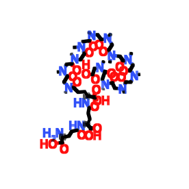 CN(CC(=O)O)C(=O)CN(C)C(=O)CN(C)C(=O)CN(C)C(=O)CN(C)C(=O)CN(C)C(=O)CN(C)C(=O)CN(C)C(=O)CN(C)C(=O)CN(C)C(=O)CN(C)C(=O)CN(C)C(=O)CC[C@H](NC(=O)CC[C@H](NC(=O)CC[C@H](N)C(=O)O)C(=O)O)C(=O)O